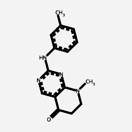 Cc1cccc(Nc2ncc3c(n2)N(C)CCC3=O)c1